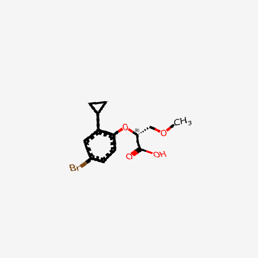 COC[C@@H](Oc1ccc(Br)cc1C1CC1)C(=O)O